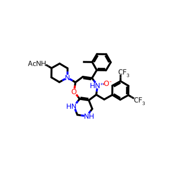 CC(=O)NC1CCN(C2/C=C(/c3ccccc3C)[NH+]([O-])C(Cc3cc(C(F)(F)F)cc(C(F)(F)F)c3)C3=C(NCNC3)O2)CC1